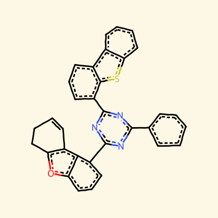 C1=Cc2c(oc3cccc(-c4nc(-c5ccccc5)nc(-c5cccc6c5sc5ccccc56)n4)c23)CC1